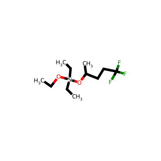 CCO[Si](CC)(CC)OC(C)CCC(F)(F)F